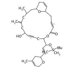 C=C1CC(O)/C=C/CC(C(C=CC2CC(C)=CCO2)O[Si](C)(C)C(C)(C)C)OC(=O)/C=C/CC2C=CCC(CC(C)C1)O2